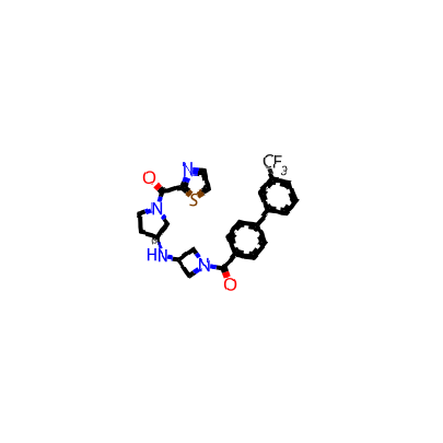 O=C(c1ccc(-c2cccc(C(F)(F)F)c2)cc1)N1CC(N[C@H]2CCN(C(=O)c3nccs3)C2)C1